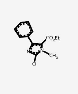 CCOC(=O)c1c(-c2ccccc2)nc(Cl)n1C